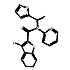 CC(c1ccco1)N(C(=O)c1sc2c(c1Cl)=CCCC=2)c1ccccn1